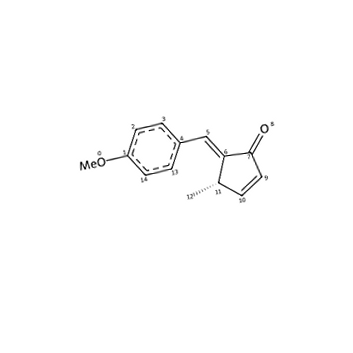 COc1ccc(/C=C2/C(=O)C=C[C@@H]2C)cc1